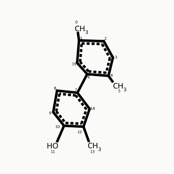 Cc1ccc(C)c(-c2ccc(O)c(C)c2)c1